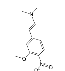 COc1cc(C=CN(C)C)ccc1[N+](=O)[O-]